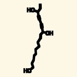 C=CC(O)C#CC#CC(O)C=CCCCCCCCCO